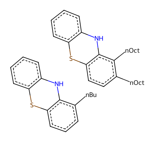 CCCCCCCCc1ccc2c(c1CCCCCCCC)Nc1ccccc1S2.CCCCc1cccc2c1Nc1ccccc1S2